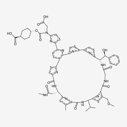 CNC(=O)C[C@@H]1NC(=O)c2csc(n2)-c2ccc(-c3nc(N(CC(=O)O)C(=O)O[C@H]4CC[C@H](C(=O)O)CC4)cs3)nc2-c2csc(n2)-c2csc(n2)[C@H]([C@@H](O)c2ccccc2)NC(=O)CNC(=O)c2nc(sc2COC)C(C(C)C)NC(=O)c2nc1sc2C